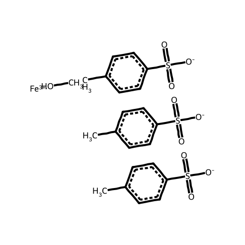 CO.Cc1ccc(S(=O)(=O)[O-])cc1.Cc1ccc(S(=O)(=O)[O-])cc1.Cc1ccc(S(=O)(=O)[O-])cc1.[Fe+3]